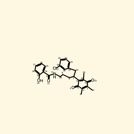 CC1=C(C)C(=O)C(C(CCCNC(=O)c2ccccc2O)Cc2cccc(Cl)c2)=C(C)C1=O